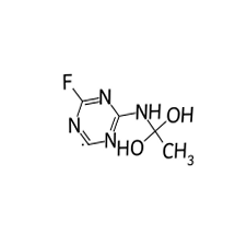 CC(O)(O)Nc1n[c]nc(F)n1